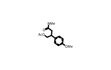 CNC(=O)CC(COC(C)=O)c1ccc(OC)cc1